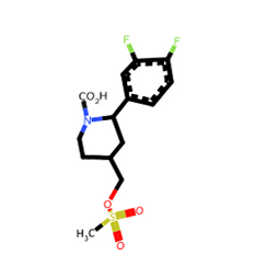 CS(=O)(=O)OCC1CCN(C(=O)O)C(c2ccc(F)c(F)c2)C1